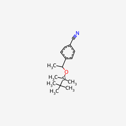 CC(O[Si](C)(C)C(C)(C)C)c1ccc(C#N)cc1